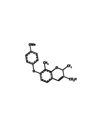 COc1ccc(Oc2ccc3c(c2C)OC(C(F)(F)F)C(C(=O)O)=C3)cc1